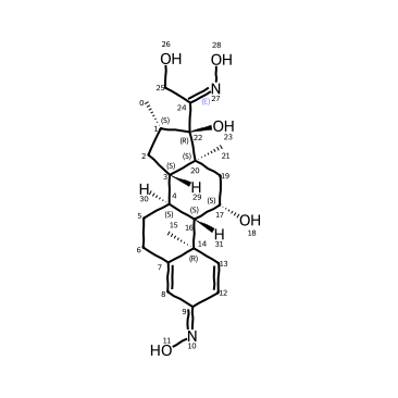 C[C@H]1C[C@H]2[C@@H]3CCC4=CC(=NO)C=C[C@]4(C)[C@H]3[C@@H](O)C[C@]2(C)[C@@]1(O)/C(CO)=N/O